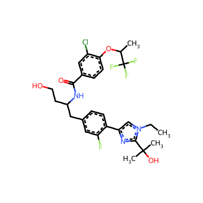 CCn1cc(-c2ccc(CC(CCO)NC(=O)c3ccc(OC(C)C(F)(F)F)c(Cl)c3)cc2F)nc1C(C)(C)O